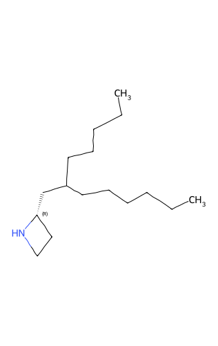 CCCCCCC(CCCCC)C[C@@H]1CCN1